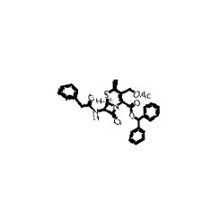 C=C1S[C@@H]2C(NC(=O)Cc3ccccc3)C(=O)N2C(C(=O)OC(c2ccccc2)c2ccccc2)=C1COC(C)=O